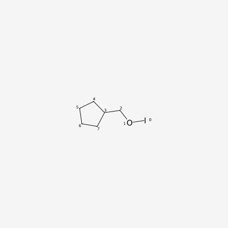 IOCC1CCCC1